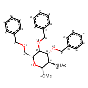 CO[C@@H]1O[C@H](COCc2ccccc2)[C@@H](OCc2ccccc2)[C@H](OCc2ccccc2)[C@H]1NC(C)=O